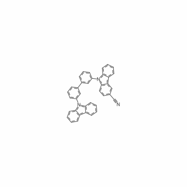 N#Cc1ccc2c(c1)c1ccccc1n2-c1cccc(-c2cccc(-n3c4ccccc4c4ccccc43)c2)c1